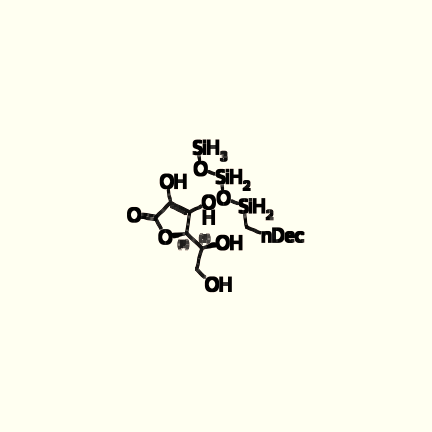 CCCCCCCCCCC[SiH2]O[SiH2]O[SiH3].O=C1O[C@H]([C@@H](O)CO)C(O)=C1O